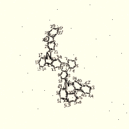 c1cc(-c2ccccc2-c2ccc3c4ccccc4n(-c4ccc5c(c4)oc4ccccc45)c3c2)cc(N(c2ccc3ccccc3c2)c2cccc3ccccc23)c1